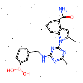 Cc1nc(NCc2cccc(B(O)O)c2)nc(-n2c(C)cc3c(C(N)=O)cccc32)n1